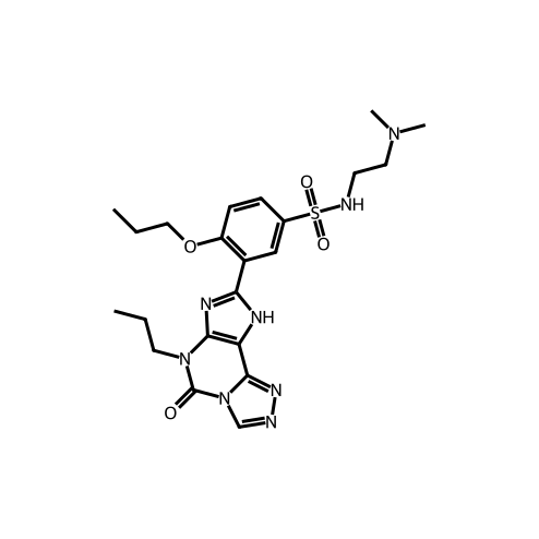 CCCOc1ccc(S(=O)(=O)NCCN(C)C)cc1-c1nc2c([nH]1)c1nncn1c(=O)n2CCC